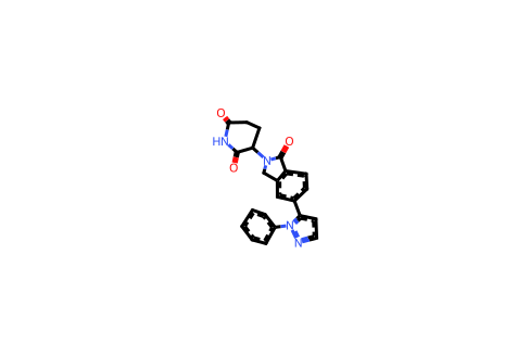 O=C1CCC(N2Cc3cc(-c4ccnn4-c4ccccc4)ccc3C2=O)C(=O)N1